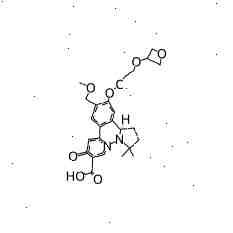 COCc1cc2c(cc1OCCCOC1COC1)[C@H]1CCC(C)(C)N1n1cc(C(=O)O)c(=O)cc1-2